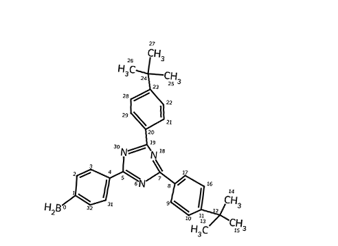 Bc1ccc(-c2nc(-c3ccc(C(C)(C)C)cc3)nc(-c3ccc(C(C)(C)C)cc3)n2)cc1